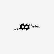 CCCCCCOc1ccc2cc(CCCC)ccc2c1